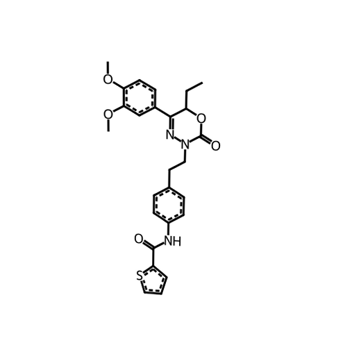 CCC1OC(=O)N(CCc2ccc(NC(=O)c3cccs3)cc2)N=C1c1ccc(OC)c(OC)c1